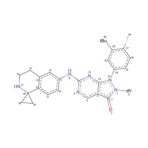 CC(C)n1c(=O)c2cnc(Nc3ccc4c(c3)CCNC43CC3)nc2n1-c1ccc(F)c(C(C)(C)C)c1